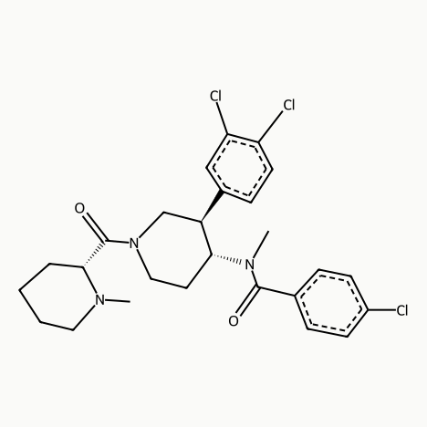 CN1CCCC[C@@H]1C(=O)N1CC[C@@H](N(C)C(=O)c2ccc(Cl)cc2)[C@H](c2ccc(Cl)c(Cl)c2)C1